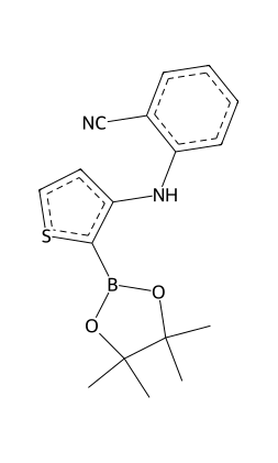 CC1(C)OB(c2sccc2Nc2ccccc2C#N)OC1(C)C